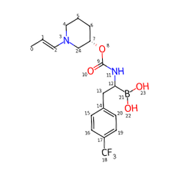 CC=CN1CCC[C@H](OC(=O)NC(Cc2ccc(C(F)(F)F)cc2)B(O)O)C1